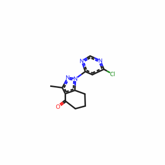 Cc1nn(-c2cc(Cl)ncn2)c2c1C(=O)CCC2